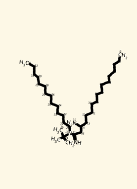 CCCCCCCCCCCCCCC(N)CC(=N)N(CCCCCCCCCCCCCC)C(C)(C)C